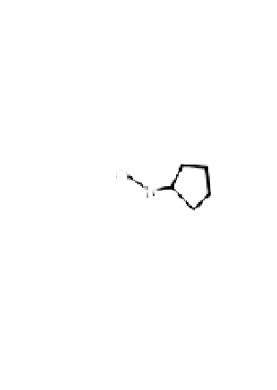 Cl[N]C1CCCC1